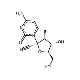 C[C@H]1[C@H](O)[C@@H](CO)O[C@@]1(C#N)n1ccc(N)nc1=O